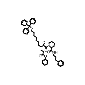 O=C(CC[C@H](CCCCCCCSC(c1ccccc1)(c1ccccc1)c1ccccc1)C(=O)C(=O)N1CCCCC1C(=O)NCCCc1ccccc1)Oc1ccccc1